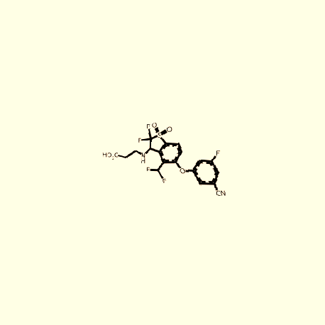 N#Cc1cc(F)cc(Oc2ccc3c(c2C(F)F)C(NCCC(=O)O)C(F)(F)S3(=O)=O)c1